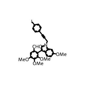 COc1ccc2c(-c3c(C=O)cc(OC)c(OC)c3OC)cn(CC#Cc3ccc(I)cc3)c2c1